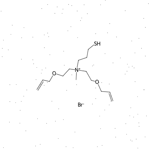 C=CCOCC[N+](C)(CCCS)CCOCC=C.[Br-]